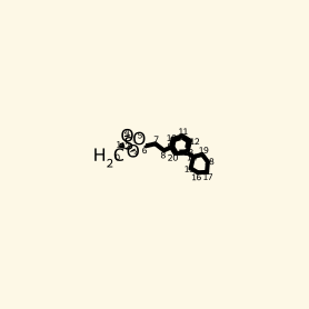 C=CS(=O)(=O)OCCCc1cccc(C2CCCCC2)c1